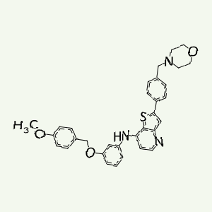 COc1ccc(COc2cccc(Nc3ccnc4cc(-c5ccc(CN6CCOCC6)cc5)sc34)c2)cc1